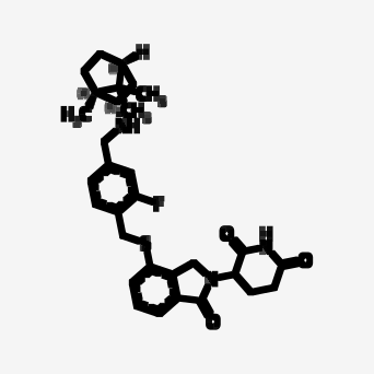 CC1(C)[C@@H]2CC[C@@]1(C)[C@@H](NCc1ccc(CSc3cccc4c3CN(C3CCC(=O)NC3=O)C4=O)c(F)c1)C2